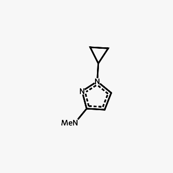 CNc1ccn(C2CC2)n1